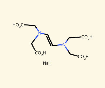 O=C(O)CN(C=CN(CC(=O)O)CC(=O)O)CC(=O)O.[NaH]